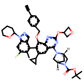 C#Cc1ccc(COc2c(-c3c(C)c(F)cc4c3cnn4C3CCCCO3)c(C3CC3)cc3c(N4C[C@@H]5C[C@H]4CN5C(=O)OC(C)(C)C)nc(OC4COC4)nc23)cc1